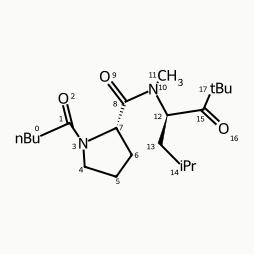 CCCCC(=O)N1CCC[C@H]1C(=O)N(C)[C@H](CC(C)C)C(=O)C(C)(C)C